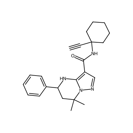 C#CC1(NC(=O)c2cnn3c2NC(c2ccccc2)CC3(C)C)CCCCC1